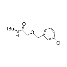 CC(C)(C)NC(=O)COCc1cccc(Cl)c1